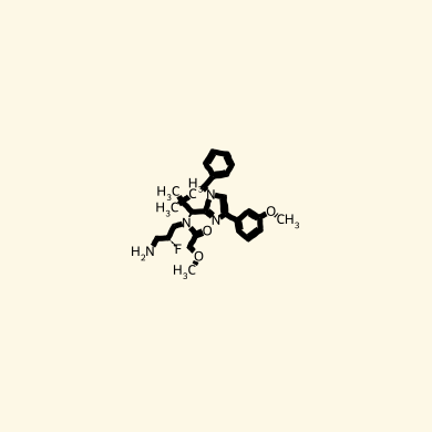 COCC(=O)N(C[C@H](F)CN)[C@@H](c1nc(-c2cccc(OC)c2)cn1Cc1ccccc1)C(C)(C)C